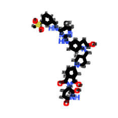 CS(=O)(=O)c1cccc(CNc2nc(Nc3ccc4c(c3)CC(=O)N4CC3CCN(c4ccc5c(c4)C(=O)N(C4CCC(=O)NC4=O)C5=O)CC3)ncc2C(F)(F)F)c1